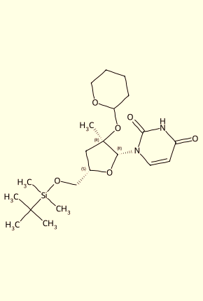 CC(C)(C)[Si](C)(C)OC[C@@H]1C[C@@](C)(OC2CCCCO2)[C@H](n2ccc(=O)[nH]c2=O)O1